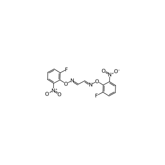 O=[N+]([O-])c1cccc(F)c1O/N=C/C=N/Oc1c(F)cccc1[N+](=O)[O-]